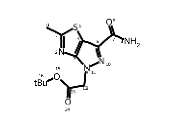 Cc1nc2c(s1)c(C(N)=O)nn2CC(=O)OC(C)(C)C